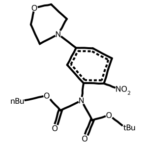 CCCCOC(=O)N(C(=O)OC(C)(C)C)c1cc(N2CCOCC2)ccc1[N+](=O)[O-]